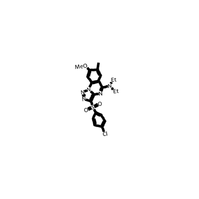 CCN(CC)c1nc2c(S(=O)(=O)c3ccc(Cl)cc3)nnn2c2cc(OC)c(C)cc12